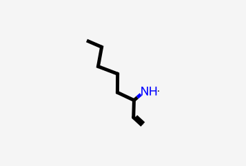 C=CC([NH])CCCCC